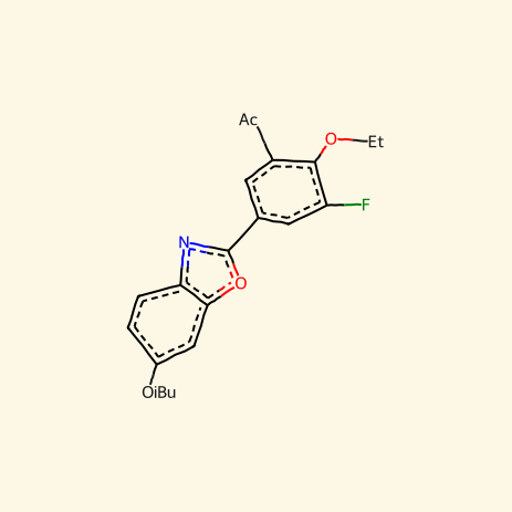 CCOc1c(F)cc(-c2nc3ccc(OCC(C)C)cc3o2)cc1C(C)=O